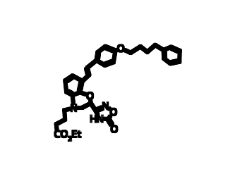 CCOC(=O)CCCN1CC(c2noc(=O)[nH]2)Oc2c(C=Cc3ccc(OCCCCc4ccccc4)cc3)cccc21